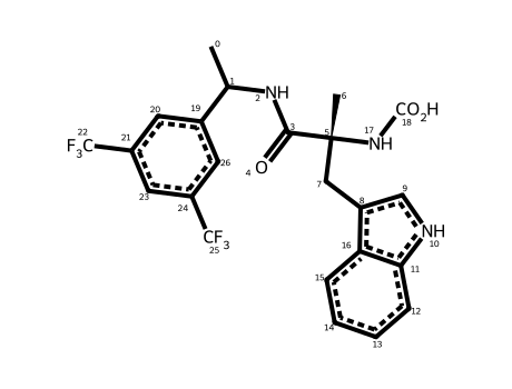 CC(NC(=O)[C@@](C)(Cc1c[nH]c2ccccc12)NC(=O)O)c1cc(C(F)(F)F)cc(C(F)(F)F)c1